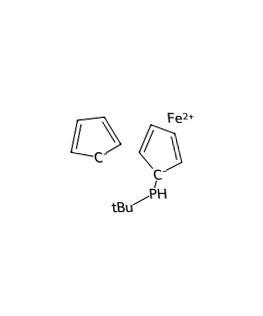 CC(C)(C)P[c-]1cccc1.[Fe+2].c1cc[cH-]c1